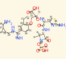 CC1(C)[C@H](NC(=O)/C(=N\O[C@](C)(C(=O)O)[C@H]2CCc3cc(C(=N)NC[C@H]4C[C@H]4CN)ccc3O2)c2csc(N)n2)C(=O)N1OS(=O)(=O)O